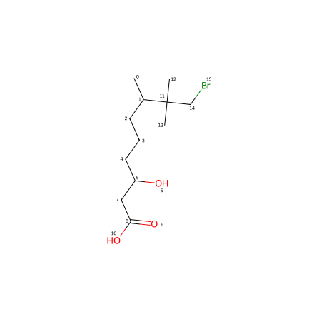 CC(CCCC(O)CC(=O)O)C(C)(C)CBr